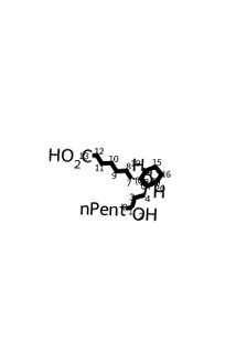 CCCCCC(O)CC[C@H]1[C@H](CCCCCCC(=O)O)[C@H]2CC[C@@H]1O2